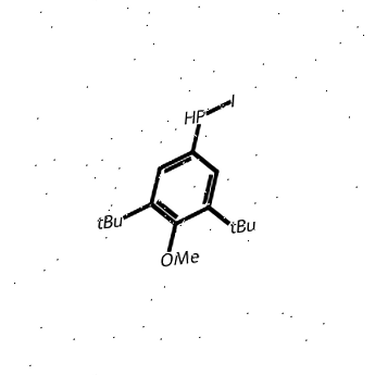 COc1c(C(C)(C)C)cc(PI)cc1C(C)(C)C